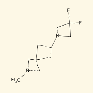 CN1CC2(CC(N3CC(F)(F)C3)C2)C1